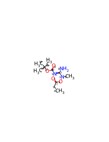 CCC(=O)ON(C)C(N)=NC(=O)OC(C)(C)C